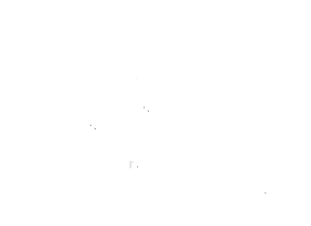 Brc1ccc(NC(=Nc2ccccc2)N2CCCC2)cc1